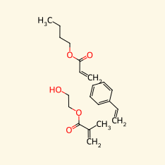 C=C(C)C(=O)OCCO.C=CC(=O)OCCCC.C=Cc1ccccc1